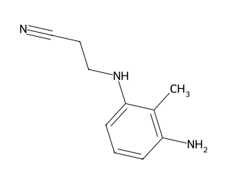 Cc1c(N)cccc1NCCC#N